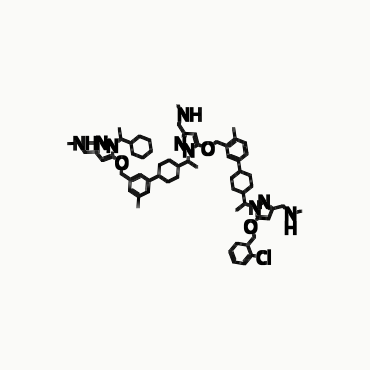 CNCc1cc(OCc2cc(C)cc(C3CCC(C(C)n4nc(CNC)cc4OCc4cc(C5CCC(C(C)n6nc(CNC)cc6OCC6CC=CC=C6Cl)CC5)ccc4C)CC3)c2)n(C(C)C2CCCCC2)n1